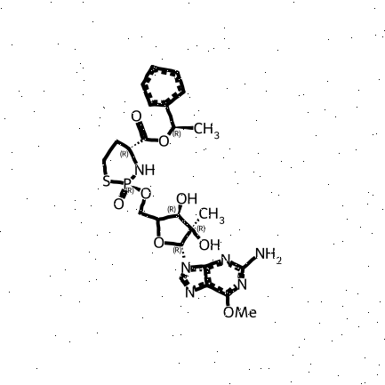 COc1nc(N)nc2c1ncn2[C@@H]1OC(CO[P@]2(=O)N[C@@H](C(=O)O[C@H](C)c3ccccc3)CCS2)[C@@H](O)[C@@]1(C)O